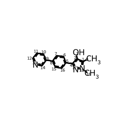 Cc1c(O)c(-c2ccc(-c3cccnc3)cc2)nn1C